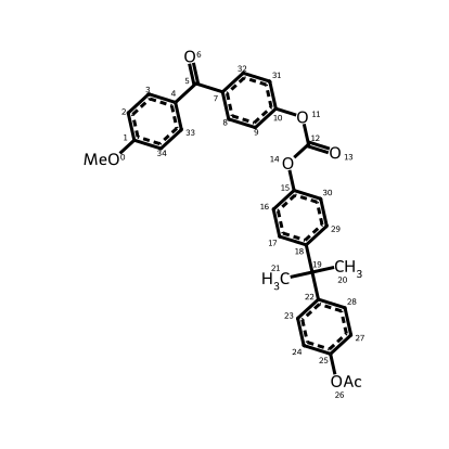 COc1ccc(C(=O)c2ccc(OC(=O)Oc3ccc(C(C)(C)c4ccc(OC(C)=O)cc4)cc3)cc2)cc1